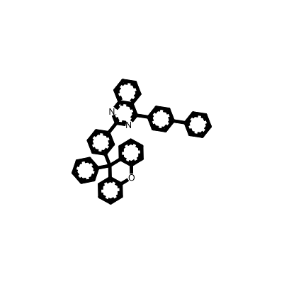 c1ccc(-c2ccc(-c3nc(-c4cccc(C5(c6ccccc6)c6ccccc6Oc6ccccc65)c4)nc4ccccc34)cc2)cc1